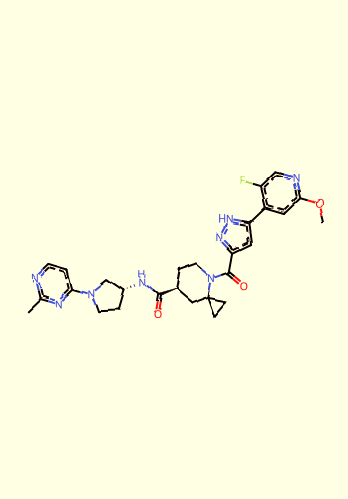 COc1cc(-c2cc(C(=O)N3CC[C@H](C(=O)N[C@@H]4CCN(c5ccnc(C)n5)C4)CC34CC4)n[nH]2)c(F)cn1